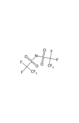 O=S(=O)([N]S(=O)(=O)C(F)(F)C(F)(F)F)C(F)(F)C(F)(F)F